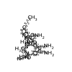 CCCCCCOc1ccc2nc(C)c(C(=O)N[C@@H](CCN)C(=O)N(C)[C@@H]3C(=O)N[C@@H](C)C(=O)N[C@H](C(=O)NCC#N)Cc4ccc(OCCN)c(c4)-c4cc3ccc4OCCN)cc2c1